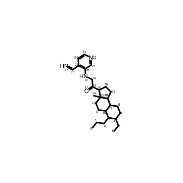 CCCC1C(CC)CCC2C1CCC1(C)C(C(=O)CNc3cnccc3C=N)CCC21